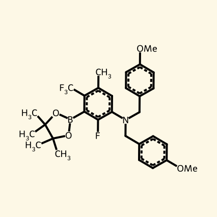 COc1ccc(CN(Cc2ccc(OC)cc2)c2cc(C)c(C(F)(F)F)c(B3OC(C)(C)C(C)(C)O3)c2F)cc1